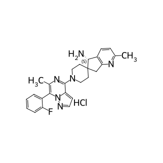 Cc1ccc2c(n1)CC1(CCN(c3nc(C)c(-c4ccccc4F)n4nccc34)CC1)[C@@H]2N.Cl